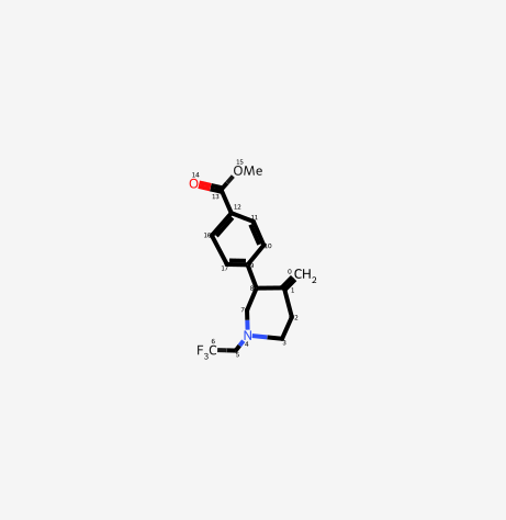 C=C1CCN(CC(F)(F)F)CC1c1ccc(C(=O)OC)cc1